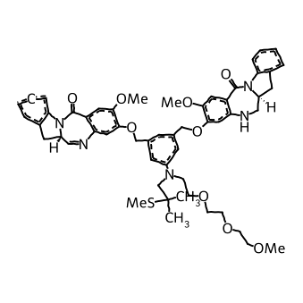 COCCOCCOCCN(CC(C)(C)SC)c1cc(COc2cc3c(cc2OC)C(=O)N2c4ccccc4C[C@H]2C=N3)cc(COc2cc3c(cc2OC)C(=O)N2c4ccccc4C[C@H]2CN3)c1